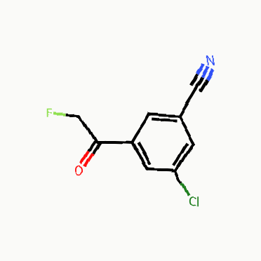 N#Cc1cc(Cl)cc(C(=O)CF)c1